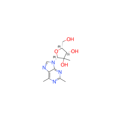 Cc1nc(C)c2ncn([C@@H]3O[C@H](CO)[C@H](O)C3(C)O)c2n1